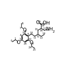 CCOc1cc(OCC)c(CCC(CC)CC(CN)C(=O)O)c(OCC)c1